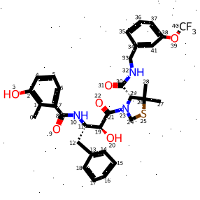 Cc1c(O)cccc1C(=O)N[C@@H](Cc1ccccc1)[C@H](O)C(=O)N1CSC(C)(C)[C@H]1C(=O)NCc1cccc(OC(F)(F)F)c1